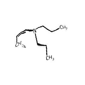 C/C=C\N(CCC)CCC